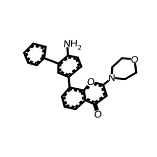 Nc1ccc(-c2cccc3c(=O)cc(N4CCOCC4)oc23)cc1-c1ccccc1